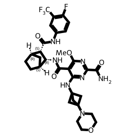 COc1nc(C(N)=O)nc(NC23CC(N4CCOCC4)(C2)C3)c1C(=O)N[C@@H]1[C@H]2CC[C@H](C2)[C@@H]1C(=O)Nc1ccc(F)c(C(F)(F)F)c1